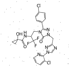 O=C(NC(Cn1c(-c2ccc(Cl)cc2)nn(Cc2ncn(-c3ncccc3Cl)n2)c1=O)C(F)(F)F)C1(O)CC1